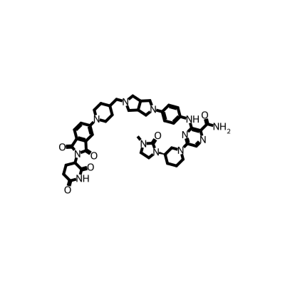 CN1CCN([C@@H]2CCCN(c3cnc(C(N)=O)c(Nc4ccc(N5CC6CN(CC7CCN(c8ccc9c(c8)C(=O)N(C8CCC(=O)NC8=O)C9=O)CC7)CC6C5)cc4)n3)C2)C1=O